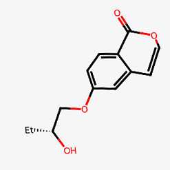 CC[C@@H](O)COc1ccc2c(=O)occc2c1